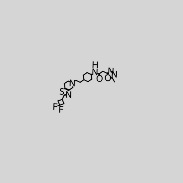 Cc1nnc(CC(=O)NC2CCC(CCN3CCc4sc(C5CC(F)(F)C5)nc4C3)CC2)o1